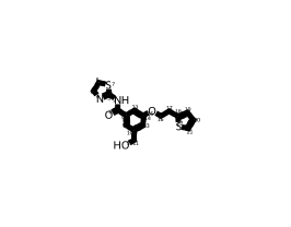 O=C(NC1=NCCS1)c1cc(CO)cc(OCCc2cccs2)c1